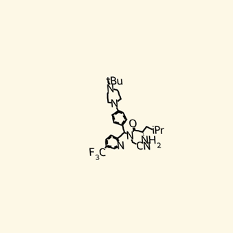 CC(C)C[C@H](N)C(=O)N(CC#N)C(c1ccc(N2CCN(C(C)(C)C)CC2)cc1)c1ccc(C(F)(F)F)cn1